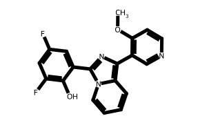 COc1ccncc1-c1nc(-c2cc(F)cc(F)c2O)n2ccccc12